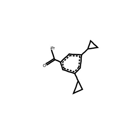 CC(C)C(=O)c1cc(C2CC2)cc(C2CC2)c1